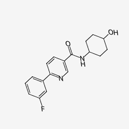 O=C(NC1CCC(O)CC1)c1ccc(-c2cccc(F)c2)nc1